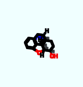 O[C@H]1CC[C@H]2[C@H]3Cc4cccc5c4[C@@]2(CCN3)[C@H]1O5